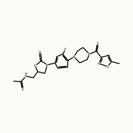 CC(=S)NCC1CN(c2ccc(N3CCN(C(=S)c4cc(C)on4)CC3)c(F)c2)C(=O)O1